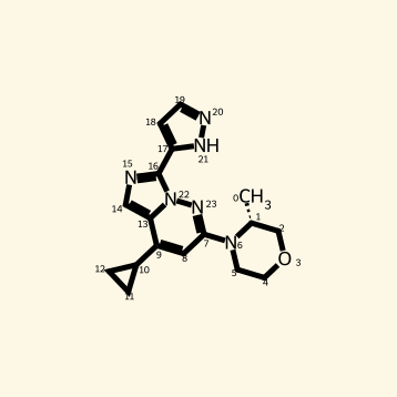 C[C@@H]1COCCN1c1cc(C2CC2)c2cnc(-c3ccn[nH]3)n2n1